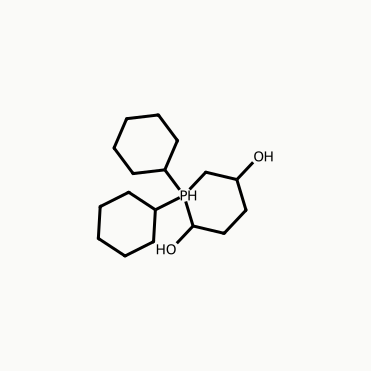 OC1CCC(O)[PH](C2CCCCC2)(C2CCCCC2)C1